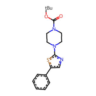 CC(C)(C)OC(=O)N1CCN(c2ncc(-c3ccccc3)s2)CC1